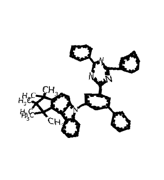 CC1(C)c2ccc3c(c2C(C)(C)C1(C)C)c1ccccc1n3-c1cc(-c2ccccc2)cc(-c2nc(-c3ccccc3)nc(-c3ccccc3)n2)c1